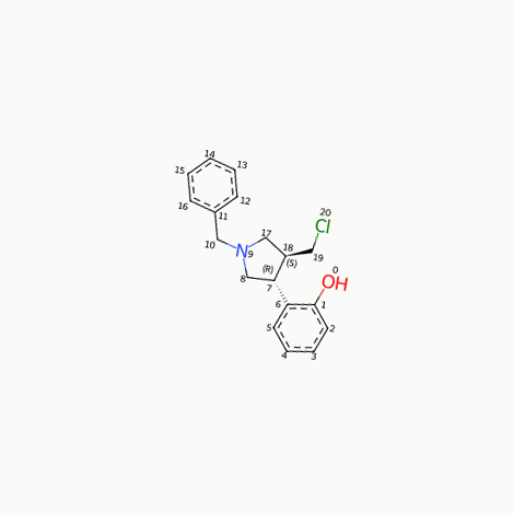 Oc1ccccc1[C@@H]1CN(Cc2ccccc2)C[C@H]1CCl